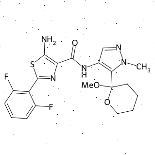 COC1(c2c(NC(=O)c3nc(-c4c(F)cccc4F)sc3N)cnn2C)CCCCO1